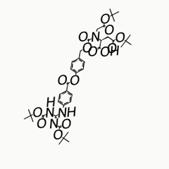 CC(C)(C)OC(=O)C[C@@H](C(=O)O)N(CC(=O)OC(C)(C)C)C(=O)OCc1ccc(OC(=O)c2ccc(N/C(=N\C(=O)OC(C)(C)C)NC(=O)OC(C)(C)C)cc2)cc1